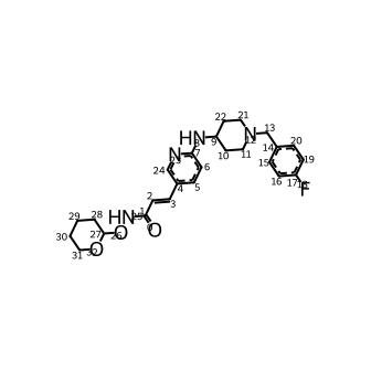 O=C(C=Cc1ccc(NC2CCN(Cc3ccc(F)cc3)CC2)nc1)NOC1CCCCO1